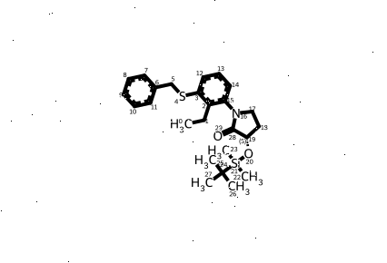 CCc1c(SCc2ccccc2)cccc1N1CC[C@H](O[Si](C)(C)C(C)(C)C)C1=O